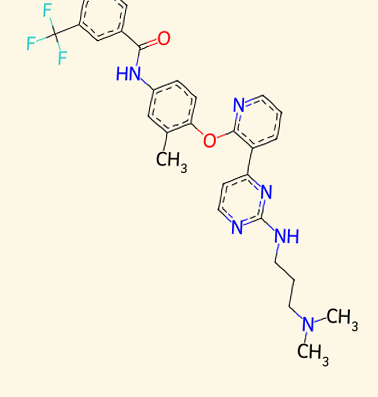 Cc1cc(NC(=O)c2cccc(C(F)(F)F)c2)ccc1Oc1ncccc1-c1ccnc(NCCCN(C)C)n1